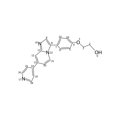 OCCOc1ccc(-c2cnc3cc(-c4ccncc4)ccn23)cc1